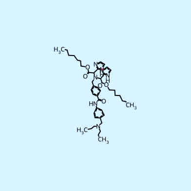 CCCCCCCOC(=O)C(c1ncc[nH]1)N(Cc1ccc(C(=O)Nc2ccc(CN(CCC)CCC)cc2)cc1)C(C(=O)OCCCCCCC)c1ncc[nH]1